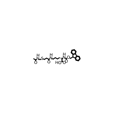 CC(=O)NCSCCC(=O)NCCCC[C@H](NC(=O)OCC1c2ccccc2-c2ccccc21)C(=O)O